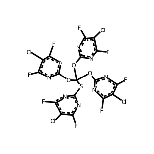 Fc1nc(OC(Oc2nc(F)c(Cl)c(F)n2)(Oc2nc(F)c(Cl)c(F)n2)Sc2nc(F)c(Cl)c(F)n2)nc(F)c1Cl